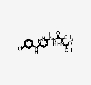 CC(NC(=O)O)C(=O)NNc1ccc(Nc2cccc(Cl)c2)nn1